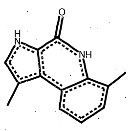 Cc1cccc2c1[nH]c(=O)c1[nH]cc(C)c12